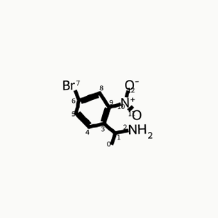 CC(N)c1ccc(Br)cc1[N+](=O)[O-]